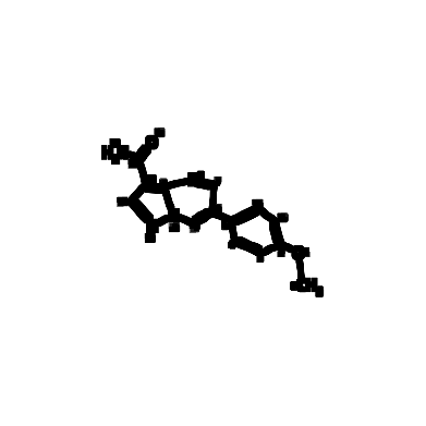 COc1ccc(-c2cnc3c(C(N)=O)cnn3c2)cc1